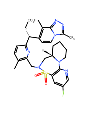 Cc1ccc([C@H](CC(=O)O)c2ccn3c(C(F)(F)F)nnc3c2C)nc1CN1C[C@@H]2CCCCN2c2ncc(F)cc2S1(=O)=O